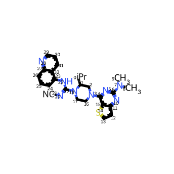 CC(C)C1CN(c2nc(N(C)C)nc3ccsc23)CCN1/C(=N/C#N)Nc1cccc2ncccc12